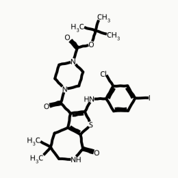 CC1(C)CNC(=O)c2sc(Nc3ccc(I)cc3Cl)c(C(=O)N3CCN(C(=O)OC(C)(C)C)CC3)c2C1